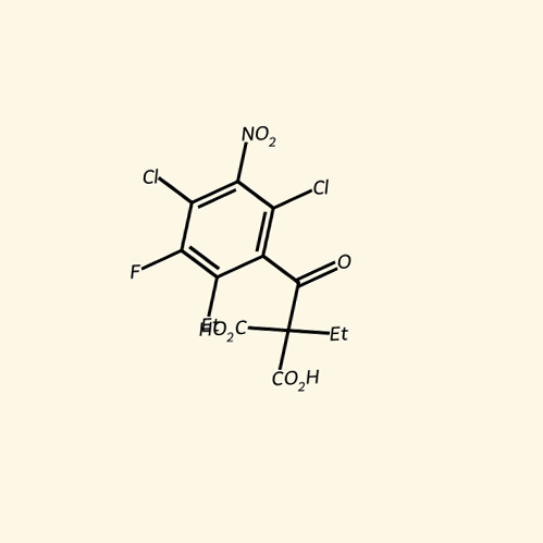 CCc1c(F)c(Cl)c([N+](=O)[O-])c(Cl)c1C(=O)C(CC)(C(=O)O)C(=O)O